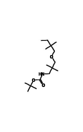 CCC(C)(C)COCC(C)(C)CNC(=O)OC(C)(C)C